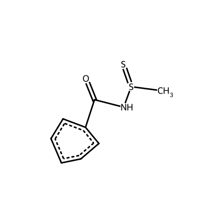 CS(=S)NC(=O)c1ccccc1